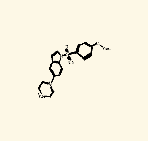 CCCCOc1ccc(S(=O)(=O)n2ccc3cc(N4CCNCC4)ccc32)cc1